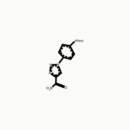 CCCCCc1ccc(-n2cc(C(N)=O)nn2)cc1